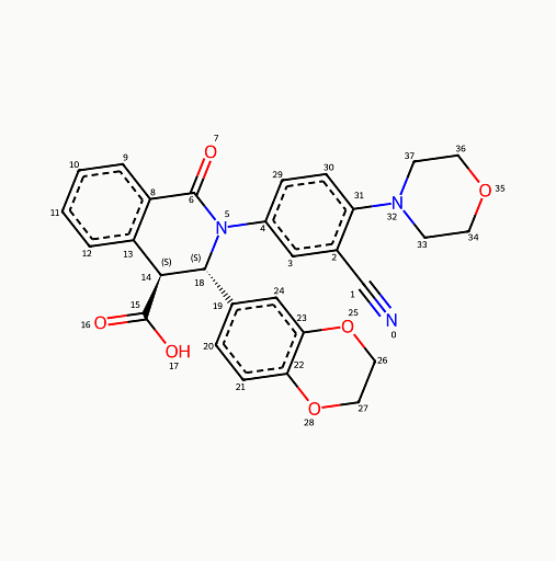 N#Cc1cc(N2C(=O)c3ccccc3[C@H](C(=O)O)[C@H]2c2ccc3c(c2)OCCO3)ccc1N1CCOCC1